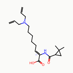 C=CCN(CC=C)CCCCC/C=C(\NC(=O)C1CC1(C)C)C(=O)O